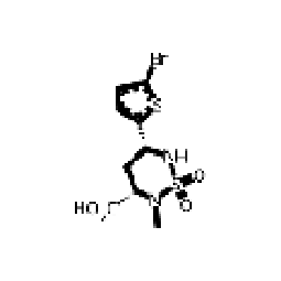 CN1[C@H](C(=O)O)C[C@H](c2ccc(Br)s2)NS1(=O)=O